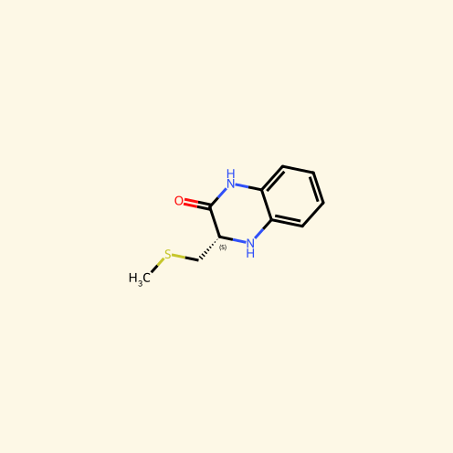 CSC[C@H]1Nc2ccccc2NC1=O